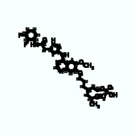 COc1cc2c(Nc3cc(CC(=O)Nc4cccc(F)c4F)[nH]n3)ncnc2cc1OCCCN(CCOP(=O)(O)O)CC(C)C